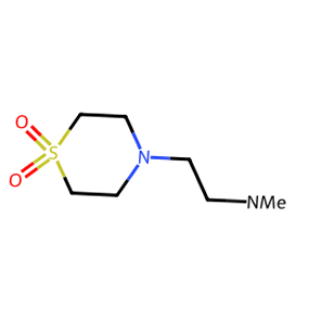 [CH2-][NH2+]CCN1CCS(=O)(=O)CC1